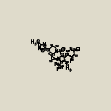 Cc1noc(C2CCN(C(=O)c3c(-c4ccc(Cl)cc4F)c(C)c(C(F)(F)F)n3C3CC3)CC2)n1